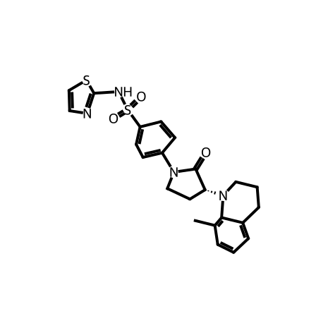 Cc1cccc2c1N([C@@H]1CCN(c3ccc(S(=O)(=O)Nc4nccs4)cc3)C1=O)CCC2